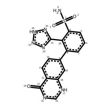 NS(=O)(=O)c1cccc(-c2ccc3c(=O)nc[nH]c3c2)c1-c1nn[nH]n1